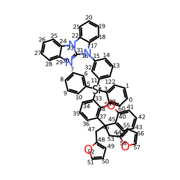 c1ccc([Si](c2ccccc2)(c2cccc(-n3c4ccccc4n4c5ccccc5nc34)c2)c2cccc3c2Oc2ccccc2C3(Cc2ccco2)Cc2ccco2)cc1